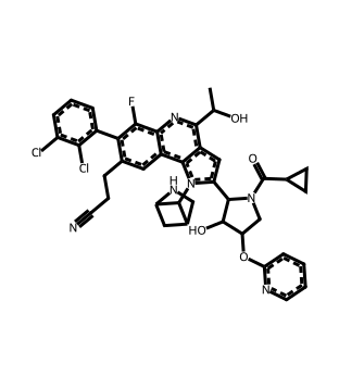 CC(O)c1nc2c(F)c(-c3cccc(Cl)c3Cl)c(CCC#N)cc2c2c1cc(C1C(O)C(Oc3ccccn3)CN1C(=O)C1CC1)n2C1C2CNC1C2